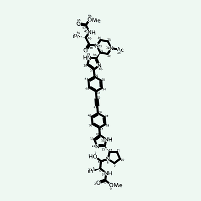 COC(=O)N[C@@H](C(C)C)C(O)N1CCC[C@H]1c1ncc(-c2ccc(C#Cc3ccc(-c4c[nH]c([C@@H]5CN(C(C)=O)CCN5C(=O)[C@@H](NC(=O)OC)C(C)C)n4)cc3)cc2)[nH]1